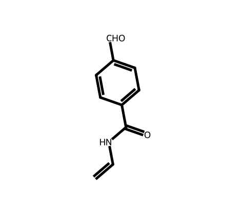 C=CNC(=O)c1ccc(C=O)cc1